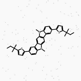 CCC(C)(C)c1ccc(-c2ccc3c(c2)c2cc4c(cc2n3C)c2cc(-c3ccc(C(C)(C)CC)s3)ccc2n4C)s1